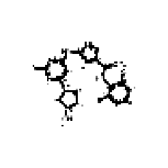 Cc1nc(Nc2ncc(C(=O)Nc3c(C)cccc3Cl)s2)cc(N2CC[C@@H](O)C2)n1